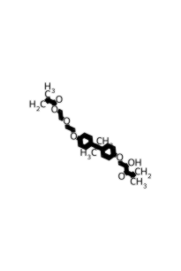 C=C(C)C(=O)OCCOCCOc1ccc(C(C)(C)c2ccc(OCC(O)C(=O)C(=C)C)cc2)cc1